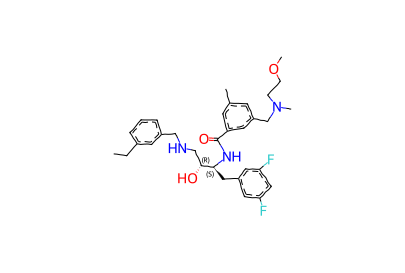 CCc1cccc(CNC[C@@H](O)[C@H](Cc2cc(F)cc(F)c2)NC(=O)c2cc(C)cc(CN(C)CCOC)c2)c1